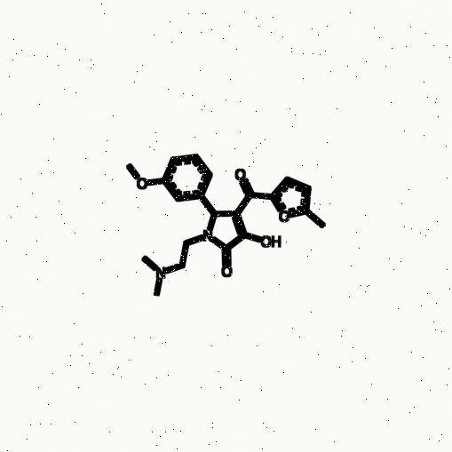 COc1cccc(C2C(C(=O)c3ccc(C)o3)=C(O)C(=O)N2CCN(C)C)c1